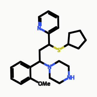 COc1ccccc1C(CC(SC1CCCC1)c1ccccn1)N1CCNCC1